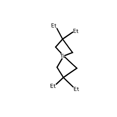 CCC1(CC)[CH2][Ti]2([CH2]1)[CH2]C(CC)(CC)[CH2]2